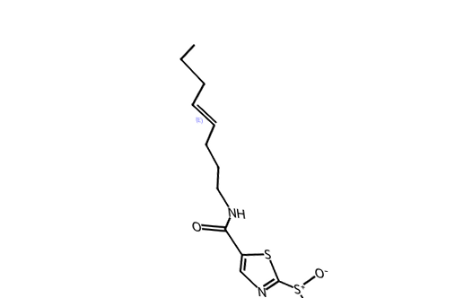 CCC/C=C/CCCNC(=O)c1cnc([S+]([O-])CC)s1